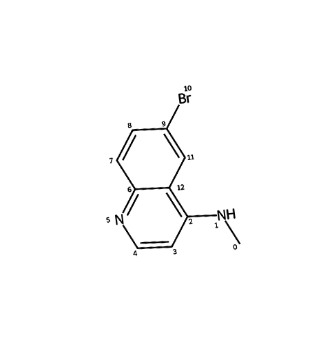 CNc1ccnc2ccc(Br)cc12